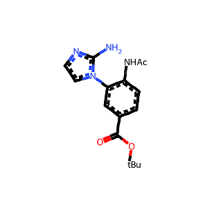 CC(=O)Nc1ccc(C(=O)OC(C)(C)C)cc1-n1ccnc1N